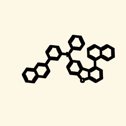 c1ccc(N(c2cccc(-c3ccc4ccccc4c3)c2)c2ccc3oc4cccc(-c5cccc6ccccc56)c4c3c2)cc1